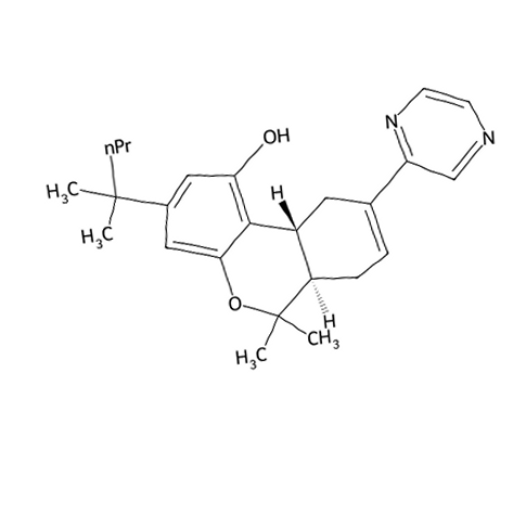 CCCC(C)(C)c1cc(O)c2c(c1)OC(C)(C)[C@@H]1CC=C(c3cnccn3)C[C@@H]21